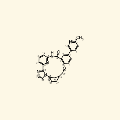 Cc1ccc(-c2ccc3c(c2)C(=O)Nc2cccc(n2)-c2nncn2[C@H]2CCC(CO3)C2)cn1